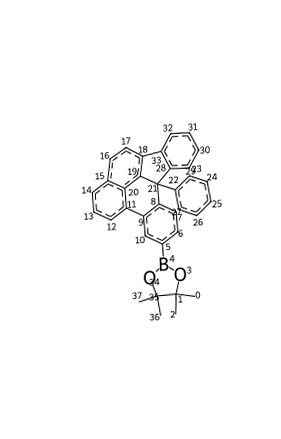 CC1(C)OB(c2ccc3c(c2)-c2cccc4ccc5c(c24)C3(c2ccccc2)c2ccccc2-5)OC1(C)C